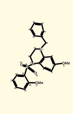 COc1ccc2c(c1)N(Cc1ccccc1)CCN2S(=O)(=O)c1ccccc1OC